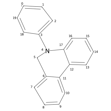 [c]1ccc(N2Cc3ccccc3-c3ccccc32)cc1